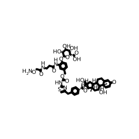 C[C@]12C=CC(=O)C=C1CC[C@@H]1[C@@H]2[C@@H](O)C[C@@]2(C)[C@H]1C[C@H]1O[C@@H](c3ccc(Cc4csc(NC(=O)OCc5ccc(O[C@@H]6O[C@H](C(=O)O)[C@@H](O)[C@H](O)[C@H]6O)c(NC(=O)CCNC(=O)CON)c5)n4)cc3)O[C@]12C(=O)CO